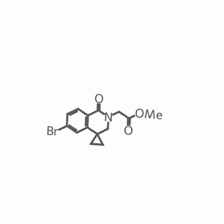 COC(=O)CN1CC2(CC2)c2cc(Br)ccc2C1=O